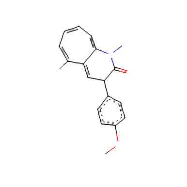 COc1ccc(C2C=C3C(Br)=CC=CC=C3N(C)C2=O)cc1